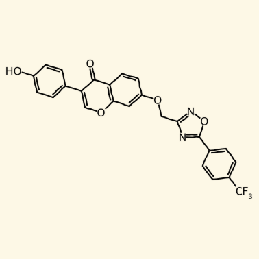 O=c1c(-c2ccc(O)cc2)coc2cc(OCc3noc(-c4ccc(C(F)(F)F)cc4)n3)ccc12